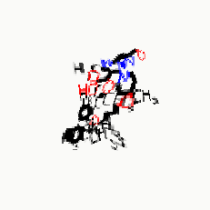 Cc1nc2cc(C=O)nn2c(N2CCC(C)(OCCCCC(C)O[Si](c3ccccc3)(c3ccccc3)C(C)(C)C)CC2)c1C(OC(C)(C)C)C(=O)O